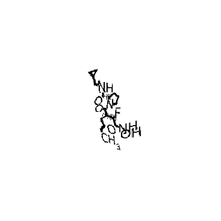 CCCC[C@@H](C(=O)N1CCC[C@H]1C(=O)NCC1CC1)[C@@H](F)C(=O)NO